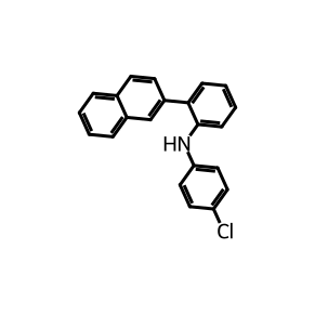 Clc1ccc(Nc2ccccc2-c2ccc3ccccc3c2)cc1